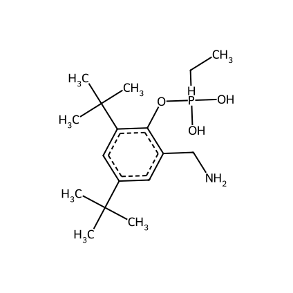 CC[PH](O)(O)Oc1c(CN)cc(C(C)(C)C)cc1C(C)(C)C